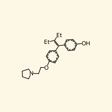 CCC(CC)=C(c1ccc(O)cc1)c1ccc(OCCN2CCCC2)cc1